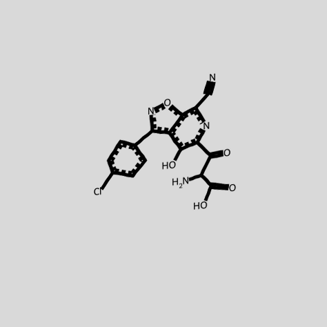 N#Cc1nc(C(=O)C(N)C(=O)O)c(O)c2c(-c3ccc(Cl)cc3)noc12